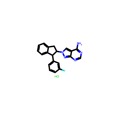 Cl.Nc1ncnc2nn(C3Cc4ccccc4C3c3cccc(F)c3)cc12